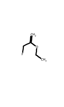 C=C(CF)OCC